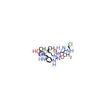 C=C(Cn1c(=O)nc(NC2=C/C(=C/NCC(C)(C)O)C(=N)C=C2)n(CC/C=C(\C)F)c1=O)C(N)N/C=C/Cl